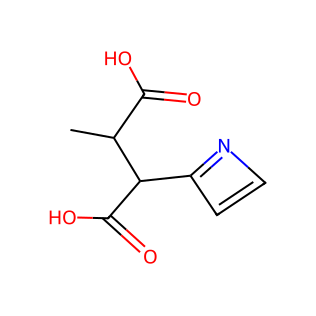 CC(C(=O)O)C(C(=O)O)C1=NC=C1